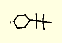 CC(C)(C)C(C)(C)C1CCNCC1